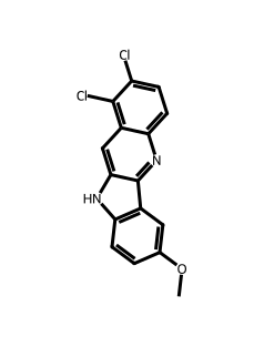 COc1ccc2[nH]c3cc4c(Cl)c(Cl)ccc4nc3c2c1